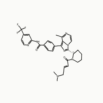 Cc1nccn2c([C@@H]3CCCCN3C(=O)C=CCN(C)C)nc(-c3ccc(C(=O)Nc4cc(C(F)(F)F)ccn4)cc3)c12